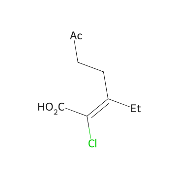 CCC(CCC(C)=O)=C(Cl)C(=O)O